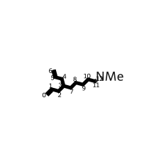 C=CCC(CC=C)CCCCCNC